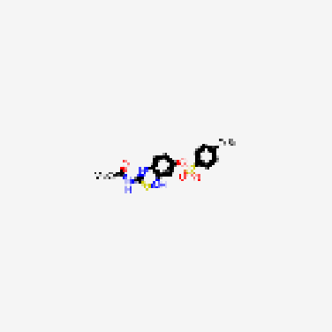 COC(=O)NC1=Nc2ccc(OS(=O)(=O)c3ccc(OCC(C)C)cc3)cc2NS1